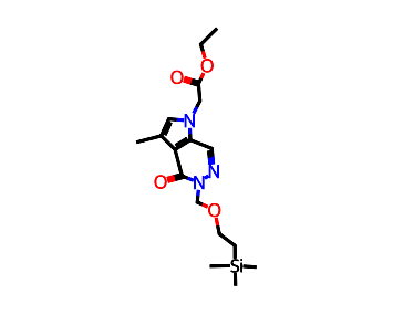 CCOC(=O)Cn1cc(C)c2c(=O)n(COCC[Si](C)(C)C)ncc21